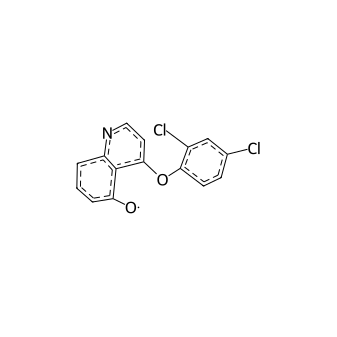 [O]c1cccc2nccc(Oc3ccc(Cl)cc3Cl)c12